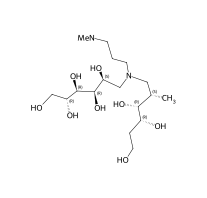 CNCCCN(C[C@H](C)[C@@H](O)[C@H](O)CCO)C[C@H](O)[C@@H](O)[C@H](O)[C@H](O)CO